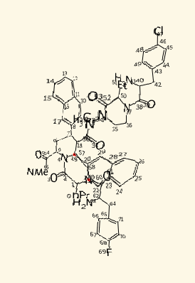 CCCC1C(=O)N(C(CC(c2ccc3ccccc3c2)C(Cc2ccc3ccccc3c2)C(=O)N(C)N2CCN(C(=O)C(N)Cc3ccc(Cl)cc3)C(CC)C2=O)C(=O)NC)CCN1C(=O)C(N)Cc1ccc(F)cc1